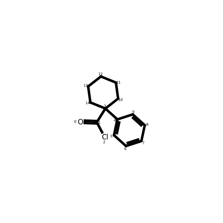 O=C(Cl)C1(c2ccccc2)CCCCC1